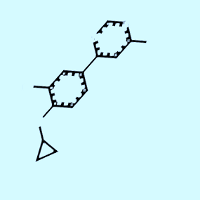 Cc1cc(-c2cc(C(=O)O)ncn2)ccc1OC1CC1